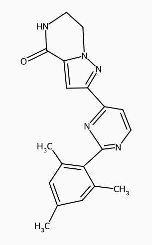 Cc1cc(C)c(-c2nccc(-c3cc4n(n3)CCNC4=O)n2)c(C)c1